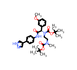 COc1cccc([C@@H](C(=O)Nc2ccc(-c3cn[nH]c3)cc2)N(CCN(C)C(=O)OC(C)(C)C)C(=O)OC(C)(C)C)c1